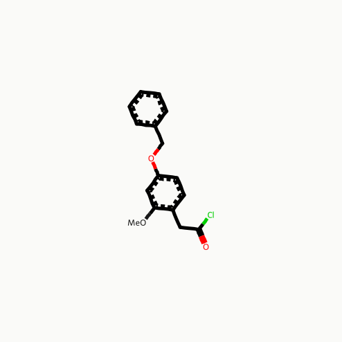 COc1cc(OCc2ccccc2)ccc1CC(=O)Cl